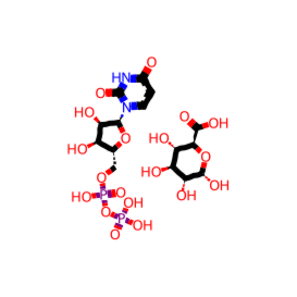 O=C(O)[C@H]1O[C@H](O)[C@H](O)[C@@H](O)[C@@H]1O.O=c1ccn([C@@H]2O[C@H](COP(=O)(O)OP(=O)(O)O)[C@@H](O)[C@H]2O)c(=O)[nH]1